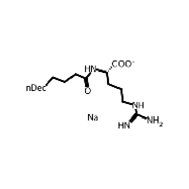 CCCCCCCCCCCCCC(=O)N[C@@H](CCCNC(=N)N)C(=O)[O-].[Na+]